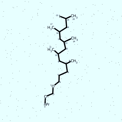 CCCOCOCCCC(C)CC(C)CC(C)CC(C)CC(C)I